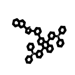 c1ccc(N(c2ccccc2)c2cccc(-c3c4ccccc4c(-c4cccc(N(c5ccccc5)c5ccccc5)c4)c4cc(-c5cccc(-c6ccc(-c7ccc8ccccc8c7)s6)c5)ccc34)c2)cc1